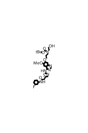 COc1cc2c(Nc3ncc(CC(=O)Nc4cccc(F)c4)s3)ncnc2cc1OCCCN(CCO)C(=O)OC(C)(C)C